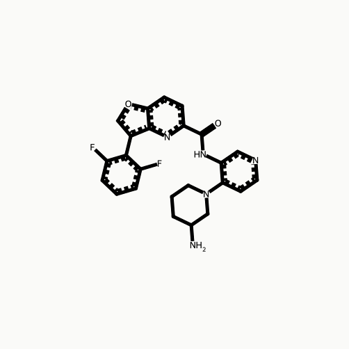 NC1CCCN(c2ccncc2NC(=O)c2ccc3occ(-c4c(F)cccc4F)c3n2)C1